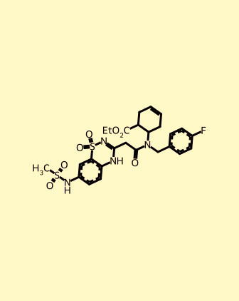 CCOC(=O)C1CC=CCC1N(Cc1ccc(F)cc1)C(=O)CC1=NS(=O)(=O)c2cc(NS(C)(=O)=O)ccc2N1